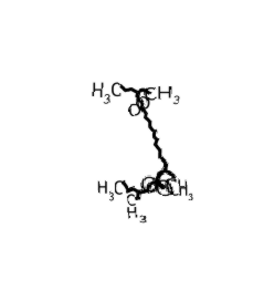 CCCCC(CC)COC(=O)CCCCCCCCCCCC(CC)CC(=O)OCC(CC)CCCC